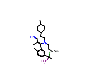 CNCCN(CCC1CCC(C)CC1)/C(=C(/C)C=N)c1cc(C(C)(F)P)ccc1C